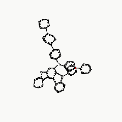 c1ccc(-c2ccc(-c3ccc(N(c4ccc(-c5ccccc5)cc4)c4cc5oc6ccccc6c5c5c6ccccc6n(-c6ccccc6)c45)cc3)cc2)cc1